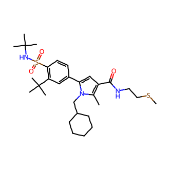 CSCCNC(=O)c1cc(-c2ccc(S(=O)(=O)NC(C)(C)C)c(C(C)(C)C)c2)n(CC2CCCCC2)c1C